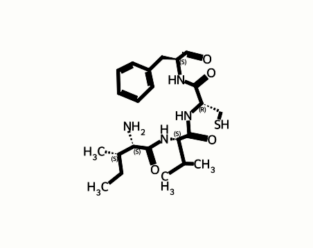 CC[C@H](C)[C@H](N)C(=O)N[C@H](C(=O)N[C@@H](CS)C(=O)N[C@H]([C]=O)Cc1ccccc1)C(C)C